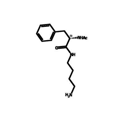 CC(=O)N[C@@H](Cc1ccccc1)C(=O)NCCCCN